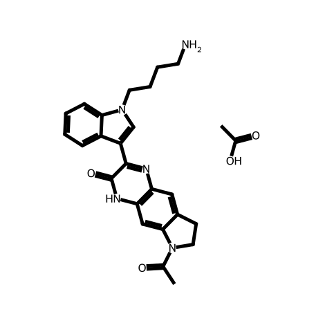 CC(=O)N1CCc2cc3nc(-c4cn(CCCCN)c5ccccc45)c(=O)[nH]c3cc21.CC(=O)O